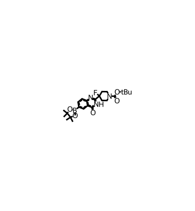 CC(C)(C)OC(=O)N1CCC(F)(c2nc3ccc(B4OC(C)(C)C(C)(C)O4)cc3c(=O)[nH]2)CC1